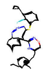 Cc1ccc(CC2CON=C(c3c(Sc4cccc(C5CC5)c4F)nnc4ccccc34)N2)c(C)c1